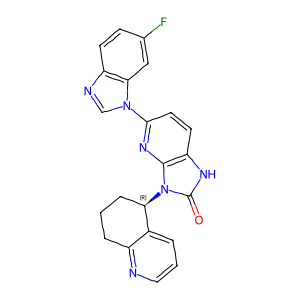 O=c1[nH]c2ccc(-n3cnc4ccc(F)cc43)nc2n1[C@@H]1CCCc2ncccc21